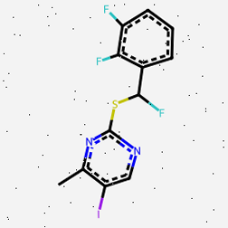 Cc1nc(SC(F)c2cccc(F)c2F)ncc1I